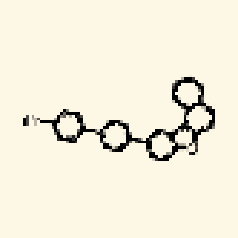 CC(C)c1ccc(-c2ccc(-c3ccc4oc5ccc6ccccc6c5c4c3)cc2)cc1